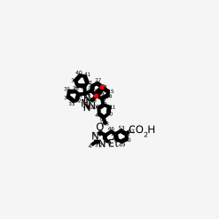 CCc1nc(C)nc(OCc2ccc(-c3ccccc3-c3nnnn3C(c3ccccc3)(c3ccccc3)c3ccccc3)cc2)c1Cc1cccc(C(=O)O)c1